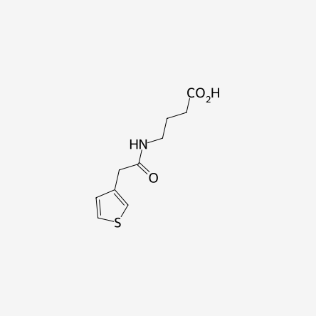 O=C(O)CCCNC(=O)Cc1ccsc1